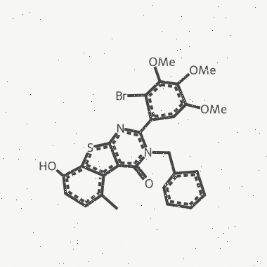 COc1cc(-c2nc3sc4c(O)ccc(C)c4c3c(=O)n2Cc2ccccc2)c(Br)c(OC)c1OC